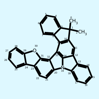 CC1(C)c2ccccc2-c2c1cc1c3ccccc3n3c4ccc5c6ccccc6oc5c4c2c13